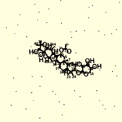 CC(=O)O[C@@H]1C[C@@]23C[C@@]24CC[C@H](O[C@@H]2OC[C@H](O)[C@H](O)[C@H]2O)C(C)(C)[C@@H]4CC=C3[C@]2(C)C[C@@H]3O[C@@]4(O)[C@H](OC(C)(C)[C@H]4O)[C@@H](C)[C@@H]3[C@@]12C